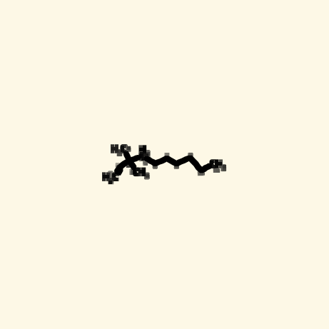 C=CC(C)(C)[SiH2]CCCCCC